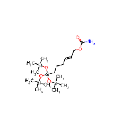 C[Si](C)(C)O[Si](CCCC=CCOC(N)=O)(O[Si](C)(C)C)O[Si](C)(C)C